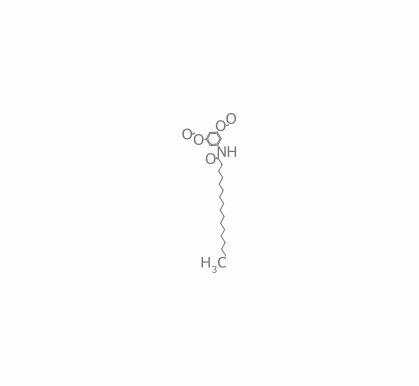 CCCCCCCCCCCCCCCCC(=O)Nc1cc(OC=O)cc(OC=O)c1